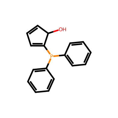 OC1C=CC=C1P(c1ccccc1)c1ccccc1